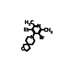 CCc1c(C)nc(C)c(Br)c1N1CCC2(CCOC2)CC1